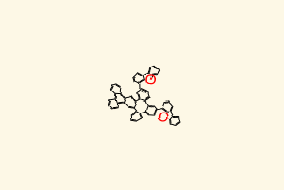 c1ccc2c(c1)-c1ccc(-c3cccc4c3oc3ccccc34)cc1-c1ccc(-c3cccc4c3oc3ccccc34)cc1-c1cc3c4ccccc4c4ccccc4c3cc1-2